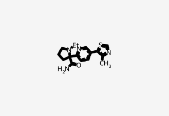 CCN1CCCC1(C(N)=O)c1ccc(-c2scnc2C)cn1